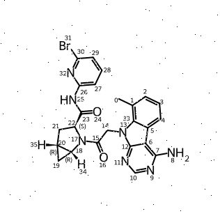 Cc1cccc2c3c(N)ncnc3n(CC(=O)N3[C@@H]4C[C@@H]4C[C@H]3C(=O)Nc3cccc(Br)n3)c12